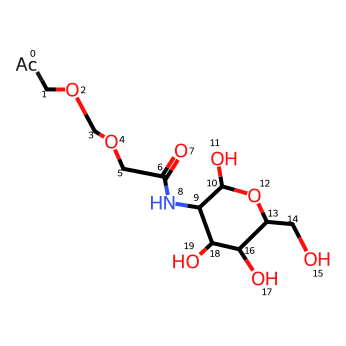 CC(=O)COCOCC(=O)NC1C(O)OC(CO)C(O)C1O